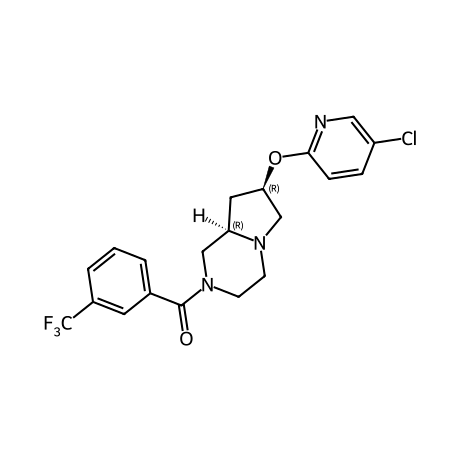 O=C(c1cccc(C(F)(F)F)c1)N1CCN2C[C@H](Oc3ccc(Cl)cn3)C[C@@H]2C1